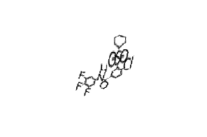 O=C(Nc1cc(F)c(F)c(F)c1)c1ccc(Cl)c(S(=O)(=O)C2CC=CCC2)c1